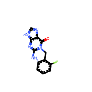 Nc1nc2[nH]cnc2c(=O)n1Cc1ccccc1F